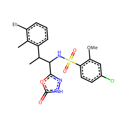 CCc1cccc(C(C)C(NS(=O)(=O)c2ccc(Cl)cc2OC)c2n[nH]c(=O)o2)c1C